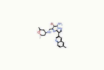 Cc1ccc2ncc(-c3cnn4c(N)c(Br)c(CNC5CC(C)O[C@@H](C)C5)nc34)cc2c1